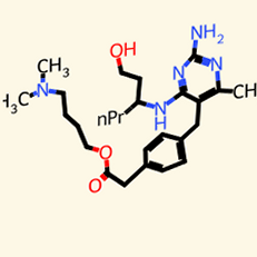 CCCC(CCO)Nc1nc(N)nc(C)c1Cc1ccc(CC(=O)OCCCCN(C)C)cc1